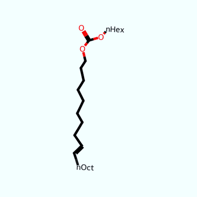 CCCCCCCCC=CCCCCCCCCOC(=O)OCCCCCC